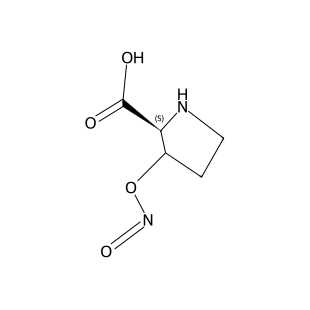 O=NOC1CCN[C@@H]1C(=O)O